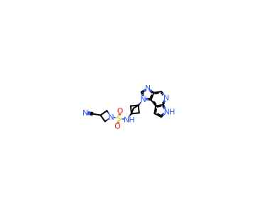 N#CC1CN(S(=O)(=O)NC23CC(n4cnc5cnc6[nH]ccc6c54)(C2)C3)C1